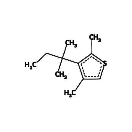 CCC(C)(C)c1c(C)csc1C